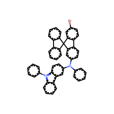 Brc1ccc2c(c1)C1(c3ccccc3-c3ccccc31)c1cc(N(c3ccccc3)c3ccc4c(c3)c3ccccc3n4-c3ccccc3)ccc1-2